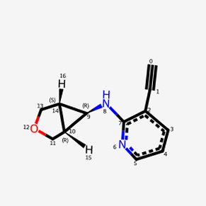 C#Cc1cccnc1N[C@H]1[C@@H]2COC[C@@H]21